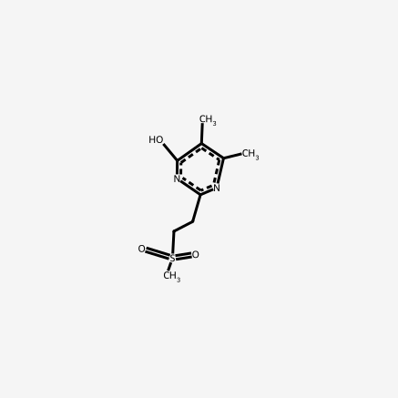 Cc1nc(CCS(C)(=O)=O)nc(O)c1C